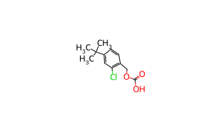 CC(C)(C)c1ccc(COC(=O)O)c(Cl)c1